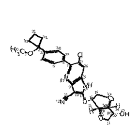 COC1(c2ccc(-c3nc4c(C#N)c(O[C@@H]5CO[C@H]6[C@@H]5OC[C@H]6O)[nH]c4cc3Cl)cc2)CCC1